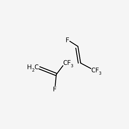 C=C(F)C(F)(F)F.FC=CC(F)(F)F